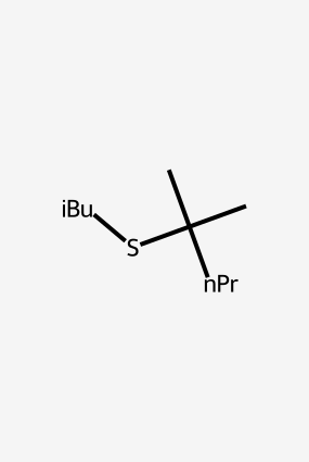 CCCC(C)(C)SC(C)CC